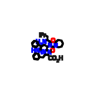 CC(C)C[C@H](N)C(=O)N(C(=O)N1CCCCCC1)[C@H](Cc1c[nH]c2ccccc12)c1nc(C(=O)O)c(Cc2ccccc2)[nH]1